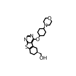 OC[C@H]1CCc2sc3ncnc(OC4CCC(N5CCOCC5)CC4)c3c2C1